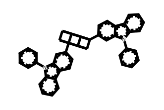 c1ccc(-n2c3ccccc3c3ccc(C45C6C7C4C4C5C6C74c4ccc5c6ccccc6n(-c6ccccc6)c5c4)cc32)cc1